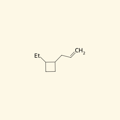 C=CCC1CCC1CC